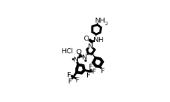 CN(C(=O)N(C)[C@@H]1CN(C(=O)N[C@H]2CC[C@H](N)CC2)C[C@H]1c1ccc(F)cc1)c1cc(C(F)(F)F)cc(C(F)(F)F)c1.Cl